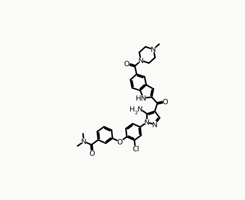 CN1CCN(C(=O)c2ccc3[nH]c(C(=O)c4cnn(-c5ccc(Oc6cccc(C(=O)N(C)C)c6)c(Cl)c5)c4N)cc3c2)CC1